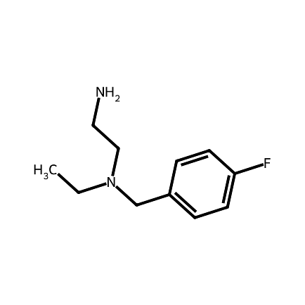 CCN(CCN)Cc1ccc(F)cc1